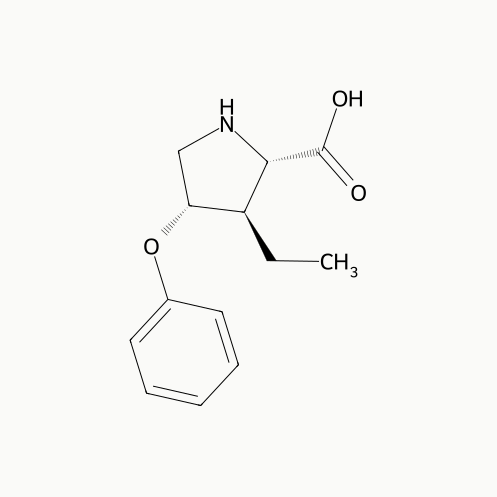 CC[C@@H]1[C@@H](C(=O)O)NC[C@H]1Oc1ccccc1